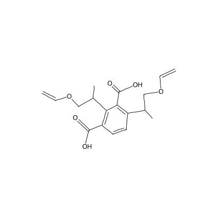 C=COCC(C)c1ccc(C(=O)O)c(C(C)COC=C)c1C(=O)O